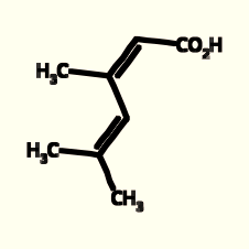 CC(C)=C/C(C)=C\C(=O)O